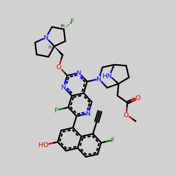 C#Cc1c(F)ccc2cc(O)cc(-c3ncc4c(N5CC6CCC(CC(=O)OC)(C5)N6)nc(OC[C@@]56CCCN5C[C@H](F)C6)nc4c3F)c12